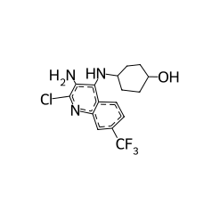 Nc1c(Cl)nc2cc(C(F)(F)F)ccc2c1NC1CCC(O)CC1